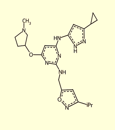 CC(C)c1cc(CNc2nc(Nc3cc(C4CC4)n[nH]3)cc(OC3CCN(C)C3)n2)on1